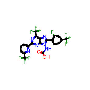 O=C(O)Nn1c(-c2ccc(C(F)(F)F)cc2F)nc2c(C(F)(F)F)nc(-c3cccc(C(F)(F)F)n3)nc21